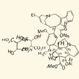 CCC1=CC2CN(C1)Cc1c([nH]c3ccccc13)[C@@](C(=O)OC)(c1cc3c(cc1OC)N(C)[C@H]1[C@@](O)(C(=O)OC)[C@H](OC(C)=O)[C@]4(CC)C=CCN5CC[C@]31[C@@H]54)C2.O=C(O)C(O)C(O)C(=O)O.O=C(O)C(O)C(O)C(=O)O